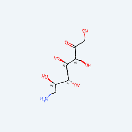 NC[C@@H](O)[C@@H](O)[C@@H](O)[C@H](O)C(=O)CO